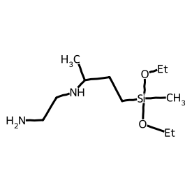 CCO[Si](C)(CCC(C)NCCN)OCC